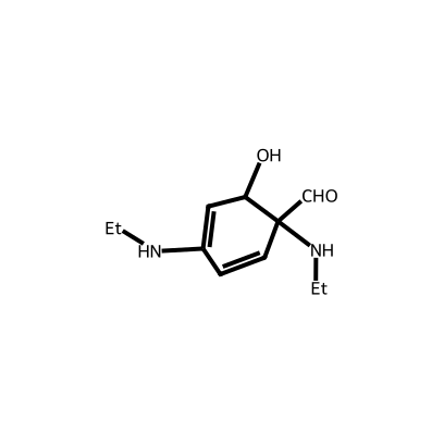 CCNC1=CC(O)C(C=O)(NCC)C=C1